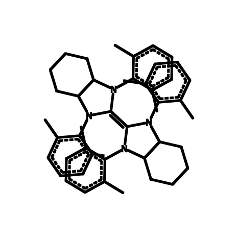 Cc1cccc(C)c1N1C(=C2N(c3c(C)cccc3C)C3CCCCC3N2c2c(C)cccc2C)N(c2c(C)cccc2C)C2CCCCC21